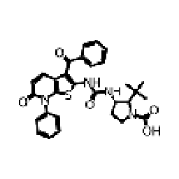 CC(C)(C)C1[C@H](NC(=O)Nc2sc3c(ccc(=O)n3-c3ccccc3)c2C(=O)c2ccccc2)CCN1C(=O)O